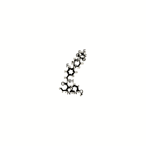 CCc1nc2nc(OC)ccn2c1C(=O)NCc1ccc(N2CCN(S(=O)(=O)C(F)(F)F)C=N2)c(F)c1